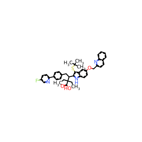 CCC(CC)(C(=O)O)C(Cc1ccc(-c2ccc(F)cn2)cc1)c1[nH]c2ccc(OCc3ccc4ccccc4n3)cc2c1SC(C)(C)C